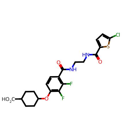 O=C(NCCNC(=O)c1ccc(OC2CCC(C(=O)O)CC2)c(F)c1F)c1ccc(Cl)s1